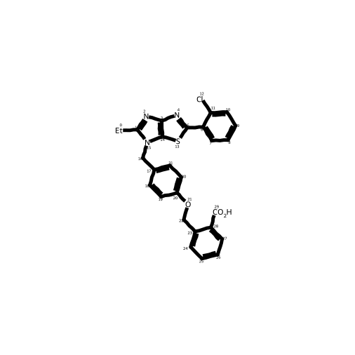 CCc1nc2nc(-c3ccccc3Cl)sc2n1Cc1ccc(OCc2ccccc2C(=O)O)cc1